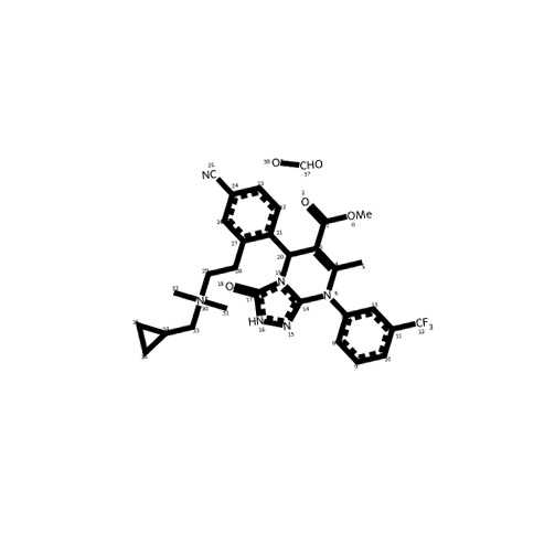 COC(=O)C1=C(C)N(c2cccc(C(F)(F)F)c2)c2n[nH]c(=O)n2C1c1ccc(C#N)cc1CC[N+](C)(C)CC1CC1.O=C[O-]